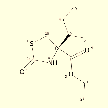 CCOC(=O)[C@@]1(C(C)CC)CSC(=O)N1